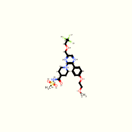 COCCOc1ccc(-c2ncc(COCC(F)(F)F)nc2N2CCC(C(=O)NS(C)(=O)=O)CC2)cc1